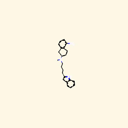 CN(CCCCc1cc2ccccc2[nH]1)C1CCc2c(N)cccc2C1